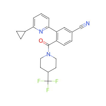 N#Cc1ccc(C(=O)N2CCC(C(F)(F)F)CC2)c(-c2cccc(C3CC3)n2)c1